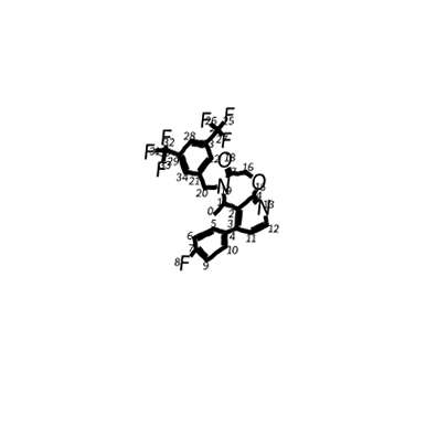 CC1c2c(-c3ccc(F)cc3)ccnc2OCC(=O)N1Cc1cc(C(F)(F)F)cc(C(F)(F)F)c1